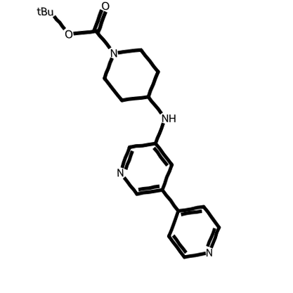 CC(C)(C)OC(=O)N1CCC(Nc2cncc(-c3ccncc3)c2)CC1